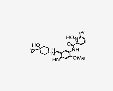 COC1=CC(=N)/C(=C\N[C@H]2CC[C@@](O)(C3CC3)CC2)C=C1NC(=O)c1cccc(C(C)C)[n+]1O